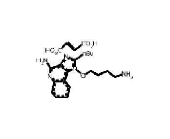 CCCCc1nc2c(N)nc3ccccc3c2n1OCCCCN.O=C(O)C=CC(=O)O